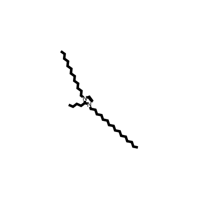 CCCCCCCCCCCCCCCCN1C=CN(CCCCCCCCCCCCC)C1CCCC